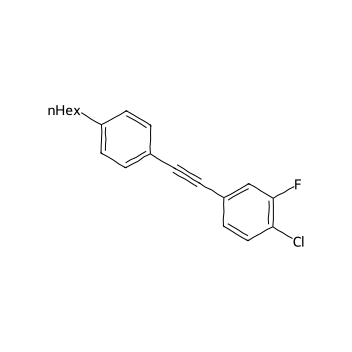 CCCCCCc1ccc(C#Cc2ccc(Cl)c(F)c2)cc1